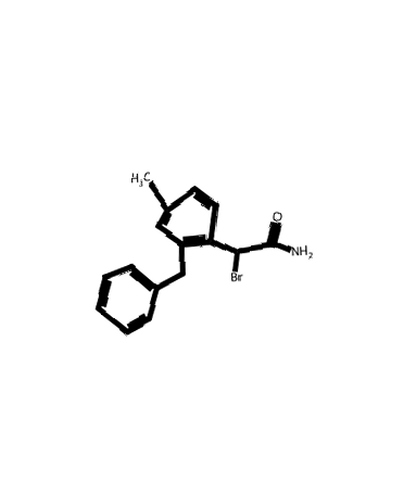 Cc1ccc(C(Br)C(N)=O)c(Cc2ccccc2)c1